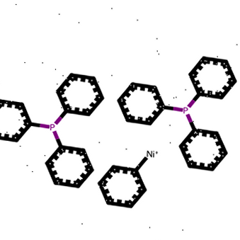 [I-].[Ni+][c]1ccccc1.c1ccc(P(c2ccccc2)c2ccccc2)cc1.c1ccc(P(c2ccccc2)c2ccccc2)cc1